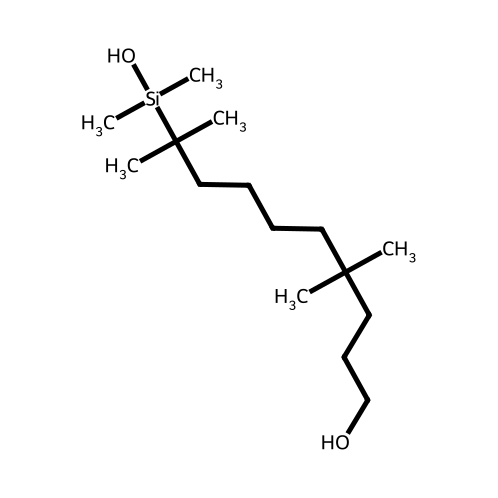 CC(C)(CCCO)CCCCC(C)(C)[Si](C)(C)O